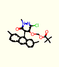 Cc1ccc2cc3ccc(C)cc3c(-c3c(OCOC(=O)C(C)(C)C)c(Cl)nn(C)c3=O)c2c1